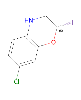 Clc1ccc2c(c1)O[C@@H](I)CN2